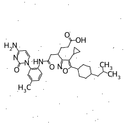 Cc1ccc(NC(=O)CC(CCC(=O)O)c2noc(C3CCC(CC(C)C)CC3)c2C2CC2)c(-n2ccc(N)nc2=O)c1